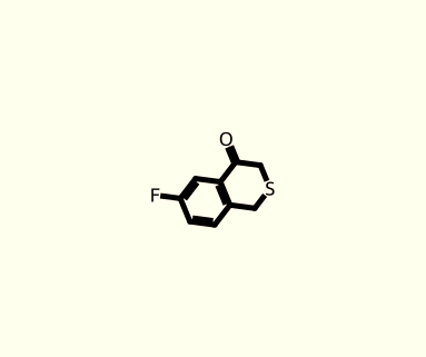 O=C1CSCc2ccc(F)cc21